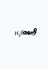 Cc1ccc(N2CCN(CCC3OCCc4ccccc43)CC2)cc1